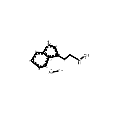 ONCCc1c[nH]c2ccccc12.[F][Au]